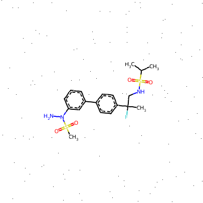 CC(C)S(=O)(=O)NCC(C)(F)c1ccc(-c2cccc(N(N)S(C)(=O)=O)c2)cc1